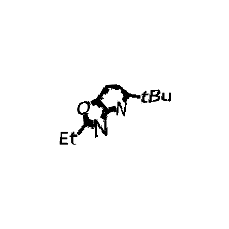 CCc1nc2nc(C(C)(C)C)ccc2o1